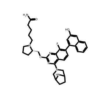 NC(=O)CCCCN1CCC[C@H]1COc1nc(N2CC3CCC(C2)N3)c2ccc(-c3cc(O)cc4ccccc34)c(F)c2n1